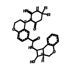 CCC1(CC)CC(=O)N([C@@H]2CCOc3ccc(C(=O)NC4C(O)[C@H]5COc6ccccc6C45)cc32)C(=N)N1